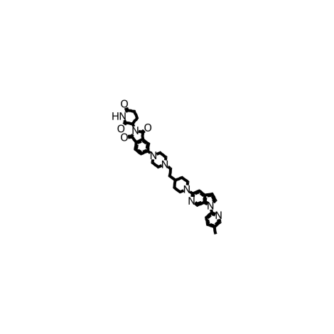 Cc1ccc(-n2ccc3cc(N4CCC(CCN5CCN(c6ccc7c(c6)C(=O)N(C6CCC(=O)NC6=O)C7=O)CC5)CC4)ncc32)nc1